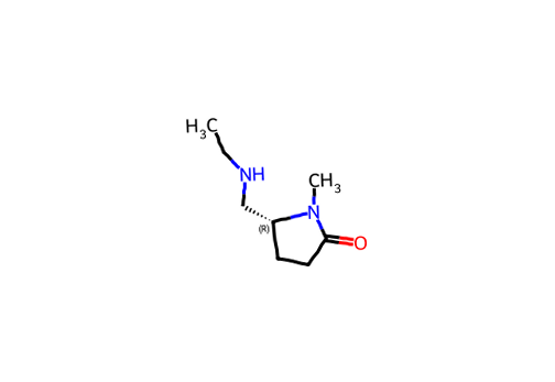 CCNC[C@H]1CCC(=O)N1C